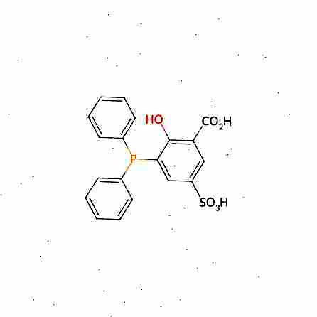 O=C(O)c1cc(S(=O)(=O)O)cc(P(c2ccccc2)c2ccccc2)c1O